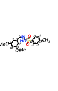 COc1cc(/C=N\NS(=O)(=O)c2ccc(C)cc2)cc(OC)c1